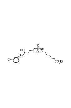 CCOC(=O)CCCCCCNS(=O)(=O)CCCCC(O)COc1cccc(Cl)c1